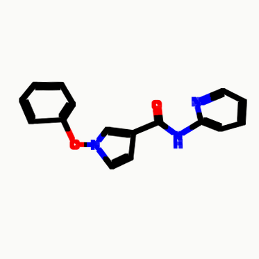 O=C(Nc1ccccn1)c1ccn(Oc2ccccc2)c1